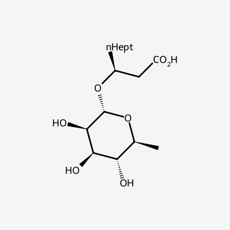 CCCCCCC[C@@H](CC(=O)O)O[C@@H]1O[C@@H](C)[C@H](O)[C@@H](O)[C@H]1O